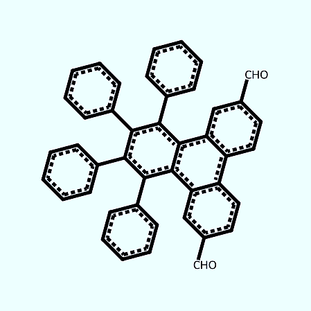 O=Cc1ccc2c3ccc(C=O)cc3c3c(-c4ccccc4)c(-c4ccccc4)c(-c4ccccc4)c(-c4ccccc4)c3c2c1